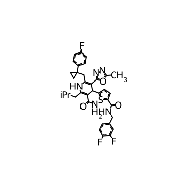 Cc1nnc(C2=C(CC3(c4ccc(F)cc4)CC3)NC(CC(C)C)=C(C(N)=O)C2c2ccc(C(=O)NCc3ccc(F)c(F)c3)s2)o1